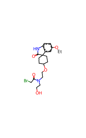 CCOc1ccc2c(c1)C1(CCC(OCCN(CCO)C(=O)CBr)CC1)C(=O)N2